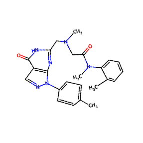 Cc1ccc(-n2ncc3c(=O)[nH]c(CN(C)CC(=O)N(C)c4ccccc4C)nc32)cc1